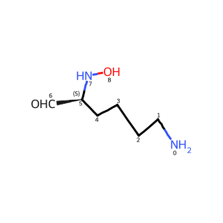 NCCCC[C@@H](C=O)NO